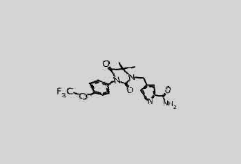 CC1(C)C(=O)N(c2ccc(OC(F)(F)F)cc2)C(=O)N1Cc1ccnc(C(N)=O)c1